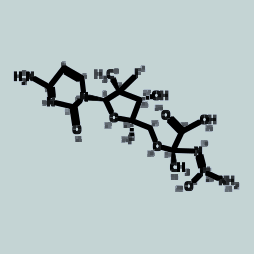 C[C@]1(F)[C@H](n2ccc(N)nc2=O)O[C@](F)(CO[C@@](C)(N=[P+](N)[O-])C(=O)O)[C@H]1O